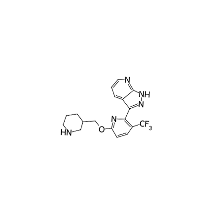 FC(F)(F)c1ccc(OCC2CCCNC2)nc1-c1n[nH]c2ncccc12